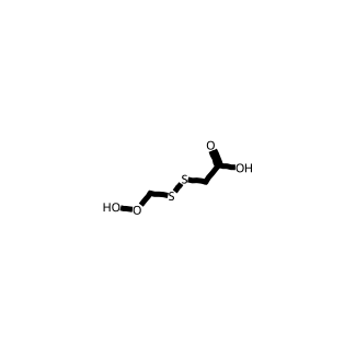 O=C(O)CSSCOO